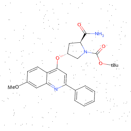 COc1ccc2c(O[C@@H]3C[C@@H](C(N)=O)N(C(=O)OC(C)(C)C)C3)cc(-c3ccccc3)nc2c1